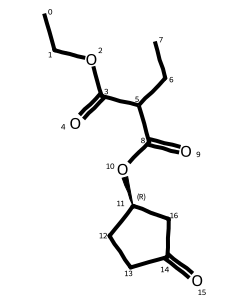 CCOC(=O)C(CC)C(=O)O[C@@H]1CCC(=O)C1